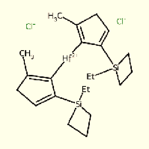 CC[Si]1(C2=CCC(C)=[C]2[Hf+2][C]2=C(C)CC=C2[Si]2(CC)CCC2)CCC1.[Cl-].[Cl-]